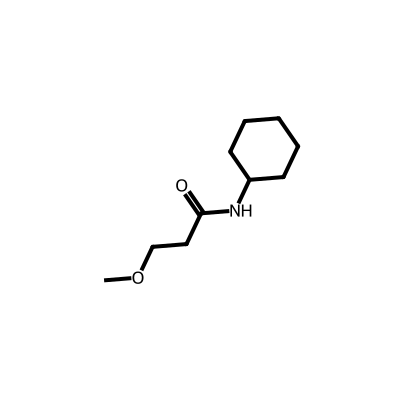 COCCC(=O)NC1CCCCC1